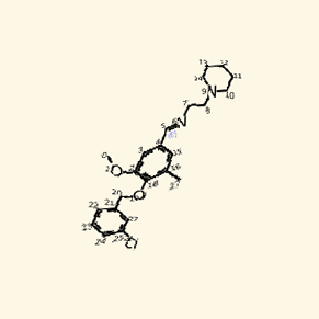 COc1cc(/C=N/CCN2CCCCC2)cc(C)c1OCc1cccc(Cl)c1